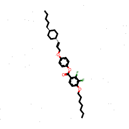 CCCCCCCOc1ccc(C(=O)Oc2ccc(OCC=C[C@H]3CC[C@H](CCCCC)CC3)cc2)c(F)c1F